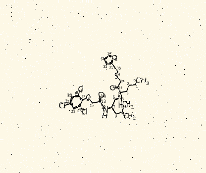 CCCCC(NCC(CC(C)C)NC(=O)COc1c(Cl)cc(Cl)cc1Cl)C(=O)CSCc1ccco1